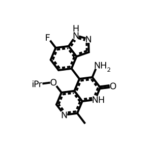 Cc1ncc(OC(C)C)c2c(-c3ccc(F)c4[nH]ncc34)c(N)c(=O)[nH]c12